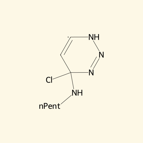 CCCCCNC1(Cl)C=[C]NN=N1